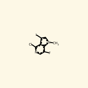 Cn1cc(I)c2c(Cl)ncc(F)c21